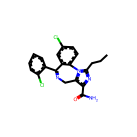 CCCc1nc(C(N)=O)c2n1-c1ccc(Cl)cc1C(c1ccccc1Cl)=NC2